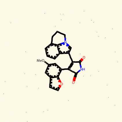 COc1cc(C2=C(c3cn4c5c(cccc35)CCC4)C(=O)NC2=O)c2occc2c1